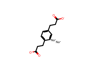 O=C([O-])CCc1ccc(CCC(=O)[O-])cc1.[Na+].[Na+]